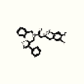 N[C@@H](CC(=O)N1Cc2ccccc2-n2nnc(-c3ccccc3)c2C1)Cc1cc(F)c(F)cc1F